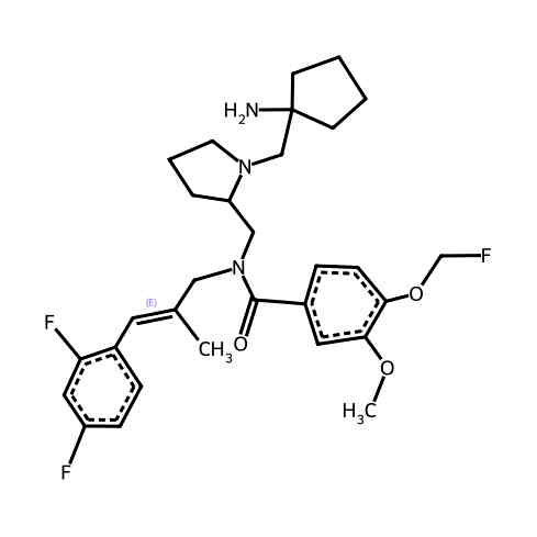 COc1cc(C(=O)N(C/C(C)=C/c2ccc(F)cc2F)CC2CCCN2CC2(N)CCCC2)ccc1OCF